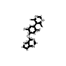 Cc1ncnc(C)c1-c1cc(F)c(Oc2ncnc3ccsc23)cc1F